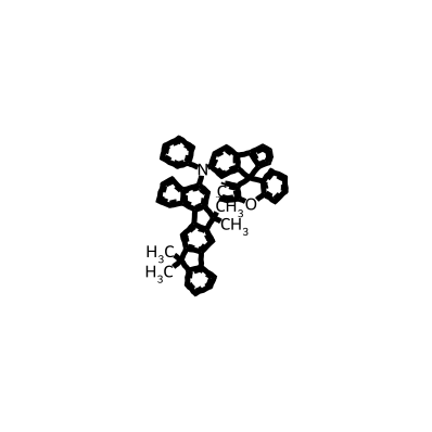 CC1(C)c2ccccc2-c2cc3c(cc21)-c1c(cc(N(c2ccccc2)c2ccc4c(c2)C2(c5ccccc5Oc5ccccc52)c2ccccc2-4)c2ccccc12)C3(C)C